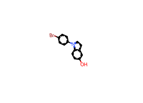 Oc1ccc2c(ccn2-c2ccc(Br)cc2)c1